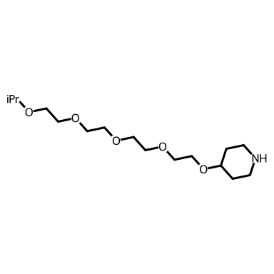 CC(C)OCCOCCOCCOCCOC1CCNCC1